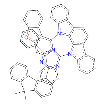 CC1(C)c2ccccc2-c2c(-c3nc(-c4ccccc4)nc(-n4c5ccccc5c5ccc6c7ccccc7n(-c7cc(-c8ccccc8)cc8oc9ccccc9c78)c6c54)n3)cccc21